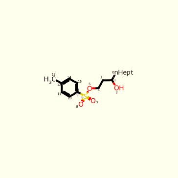 CCCCCCCC(O)CCOS(=O)(=O)c1ccc(C)cc1